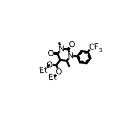 CCOC(OCC)C1C(=O)N(C)C(=O)N(c2cccc(C(F)(F)F)c2)C1C